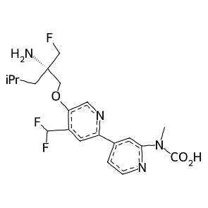 CC(C)C[C@@](N)(CF)COc1cnc(-c2ccnc(N(C)C(=O)O)c2)cc1C(F)F